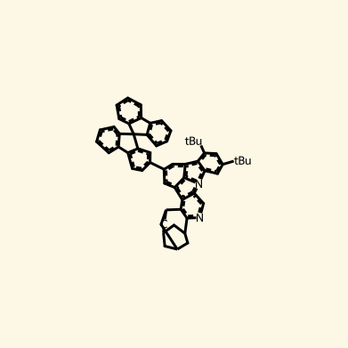 CC(C)(C)c1cc(C(C)(C)C)c2c3cc(-c4ccc5c(c4)C4(c6ccccc6-c6ccccc64)c4ccccc4-5)cc4c5c6c(ncc5n(c2c1)c34)C1CC2CC(C1)CC6C2